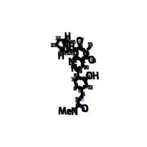 CNC(=O)/C=C/c1ccc(-c2cc3c(=O)n(C)c(=O)n(C4C[C@H]5CC[C@@H](C4)N5)c3nn2)c(O)c1